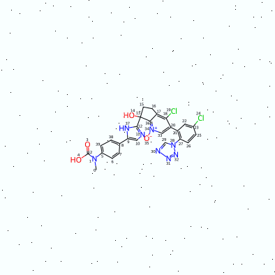 CN(C(=O)O)c1ccc(-c2cnc(C3(O)CCc4c(Cl)c(-c5cc(Cl)ccc5-n5cnnn5)c[n+]([O-])c43)[nH]2)cc1